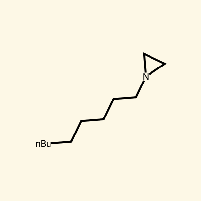 CCCCCCCCCN1CC1